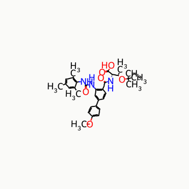 COc1ccc(-c2ccc(C(=O)N[C@H](C(=O)O)[C@@H](C)OC(C)(C)C)c(NC(=O)Nc3c(C)cc(C)cc3C)c2)cc1